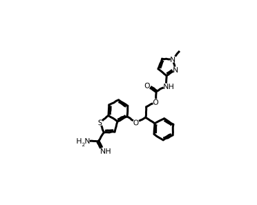 Cn1ccc(NC(=O)OCC(Oc2cccc3sc(C(=N)N)cc23)c2ccccc2)n1